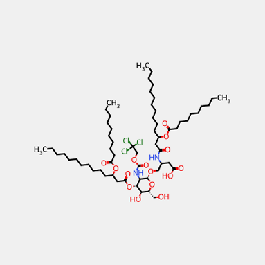 CCCCCCCCCCCC(CC(=O)NC(CO[C@@H]1O[C@H](CO)[C@@H](O)[C@H](OC(=O)CC(CCCCCCCCCCC)OC(=O)CCCCCCCCC)[C@H]1NC(=O)OCC(Cl)(Cl)Cl)CC(=O)O)OC(=O)CCCCCCCCC